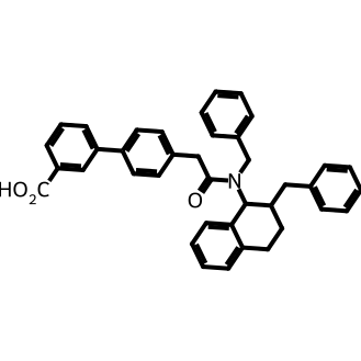 O=C(O)c1cccc(-c2ccc(CC(=O)N(Cc3ccccc3)C3c4ccccc4CCC3Cc3ccccc3)cc2)c1